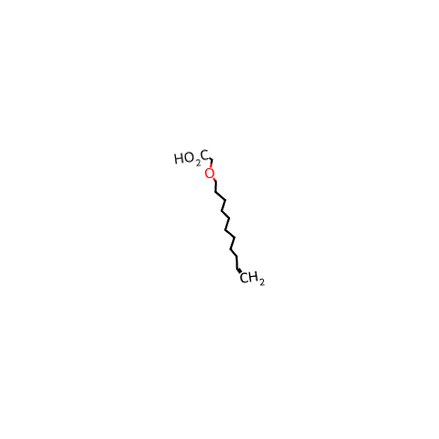 C=CCCCCCCCCCOCC(=O)O